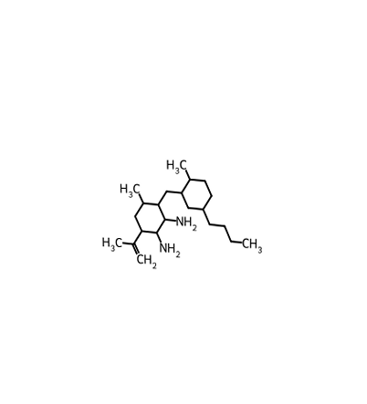 C=C(C)C1CC(C)C(CC2CC(CCCC)CCC2C)C(N)C1N